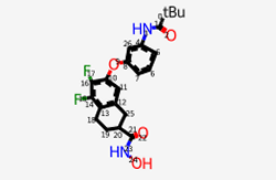 CC(C)(C)C(=O)Nc1cccc(Oc2cc3c(c(F)c2F)CCC(C(=O)NO)C3)c1